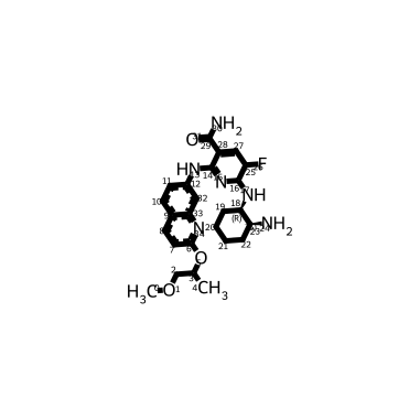 COCC(C)Oc1ccc2ccc(NC3=NC(N[C@@H]4CCCC[C@@H]4N)C(F)C=C3C(N)=O)cc2n1